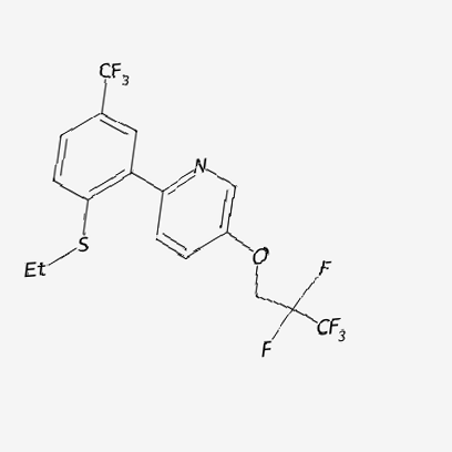 CCSc1ccc(C(F)(F)F)cc1-c1ccc(OCC(F)(F)C(F)(F)F)cn1